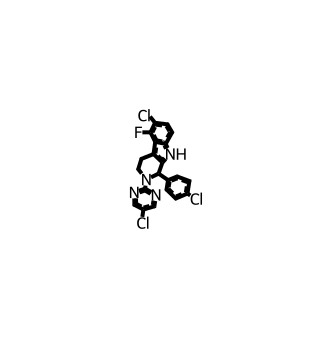 Fc1c(Cl)ccc2[nH]c3c(c12)CCN(c1ncc(Cl)cn1)C3c1ccc(Cl)cc1